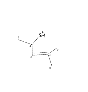 CC(C)=CC(C)S